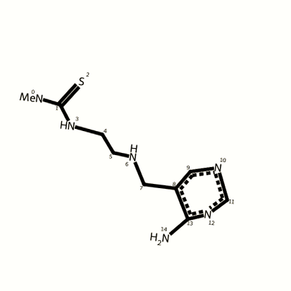 CNC(=S)NCCNCc1cncnc1N